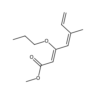 C=C/C(C)=C\C(=C\C(=O)OC)OCCC